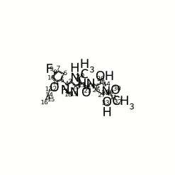 Cc1[nH]c2c(-c3ccc(F)cc3OCC3CC3)ncnc2c1C(=O)N[C@@H]1CCN(C(=O)[C@H](C)O)C[C@@H]1O